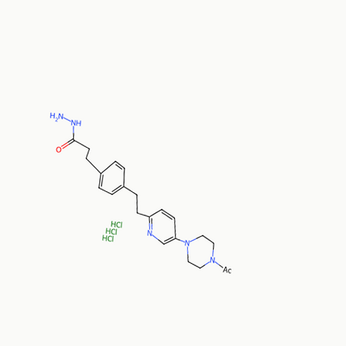 CC(=O)N1CCN(c2ccc(CCc3ccc(CCC(=O)NN)cc3)nc2)CC1.Cl.Cl.Cl